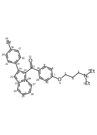 CCN(CC)CCCOc1ccc(C(=O)c2c(-c3ccc(Br)cc3)cc3ccccn23)cc1